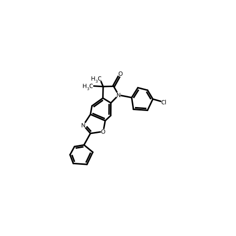 CC1(C)C(=O)N(c2ccc(Cl)cc2)c2cc3oc(-c4ccccc4)nc3cc21